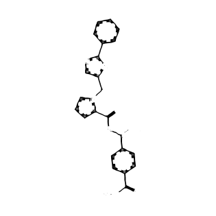 COC(=O)c1ccc([C@H](C)NC(=O)c2cccn2Cc2coc(-c3ccccc3)n2)cc1